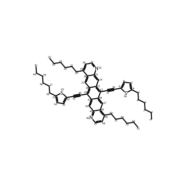 CCCCCCc1ccc(C#Cc2c3cc4nccc(CCCCCC)c4cc3c(C#Cc3ccc(CCCCCC)s3)c3cc4nccc(CCCCCC)c4cc23)s1